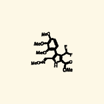 CO/N=C/c1[nH]c(C(=O)OC)c(C(F)F)c1-c1ccc(OC)c(OC)c1OC